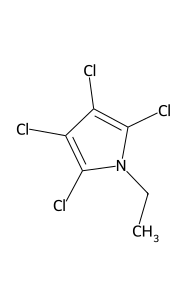 CCn1c(Cl)c(Cl)c(Cl)c1Cl